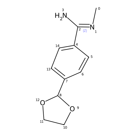 C/N=C(\N)c1ccc(C2OCCO2)cc1